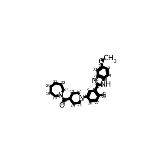 COc1ccc2[nH]c(-c3cc(N4CCC(C(=O)N5CCCCCC5)CC4)ccc3F)nc2c1